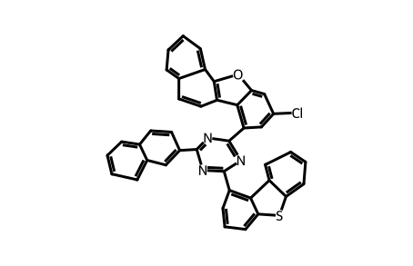 Clc1cc(-c2nc(-c3ccc4ccccc4c3)nc(-c3cccc4sc5ccccc5c34)n2)c2c(c1)oc1c3ccccc3ccc12